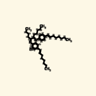 CCCCCCC=Cc1ccc(N=C(CCCC)C(CCCCC)=Nc2ccc(C=CCCCCCC)cc2)cc1.[Pd]